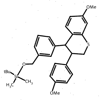 COc1ccc(C2CSc3cc(OC)ccc3C2c2cccc(CO[Si](C)(C)C(C)(C)C)c2)cc1